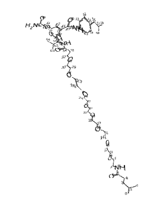 CC(C)CCC(=O)NCCOCCOCCOCCOCCOCCOCCOCCOCCC(=O)N[C@H](C(=O)N[C@@H](CCCNC(N)=O)C(=O)Nc1ccc(CC(C)C)cc1)C(C)C